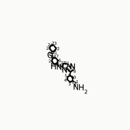 NCc1cccc(-c2cnn3ccc(Nc4ccc(Oc5ccccc5)cc4)nc23)c1